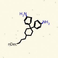 CCCCCCCCCCCCCC1CCC(c2ccc(N)cc2)(c2ccc(N)cc2)CC1